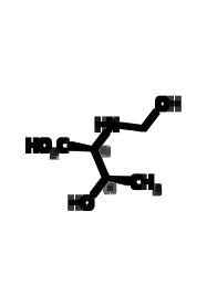 C[C@@H](O)[C@H](NCO)C(=O)O